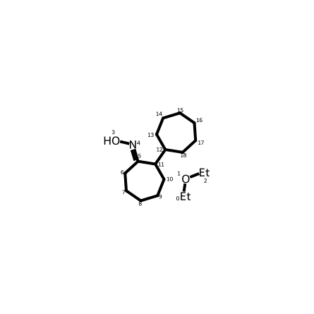 CCOCC.O/N=C1\CCCCCC1C1CCCCCC1